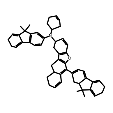 CC1(C)C2=CCCC=C2c2ccc(N(C3C=Cc4oc5c(c4C3)CC3CCC=CC3=C5C3=CC=C4C5=CCCC=C5C(C)(C)C4C3)C3CC=CCC3)cc21